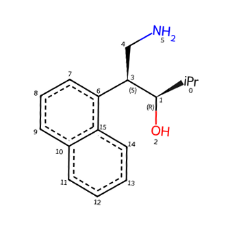 CC(C)[C@@H](O)[C@H](CN)c1cccc2ccccc12